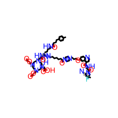 Cc1ccc(CCCC(=O)NCCCC[C@@H](N/N=C/CCCCCC(=O)N2CCN(CCCOc3ccc4nccc(C(=O)NCC(=O)N5CC(C)(F)C[C@@H]5C#N)c4c3)CC2)NC(=O)CN2CCN(COC=O)CCN(COC=O)CCN(CC(=O)O)CC2)cc1